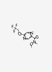 CON(C)C(=O)c1cnc(OCC(F)(F)F)cn1